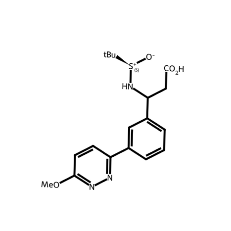 COc1ccc(-c2cccc(C(CC(=O)O)N[S@+]([O-])C(C)(C)C)c2)nn1